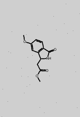 COC(=O)CC1NC(=O)c2ccc(OC)cc21